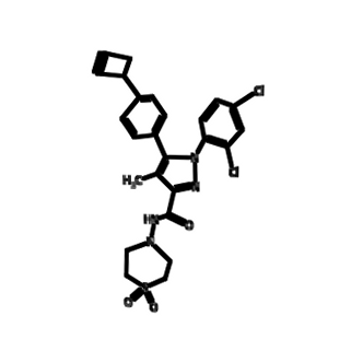 Cc1c(C(=O)NN2CCS(=O)(=O)CC2)nn(-c2ccc(Cl)cc2Cl)c1-c1ccc(C2C#CC2)cc1